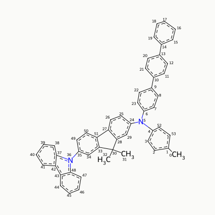 Cc1ccc(N(c2ccc(-c3ccc(-c4ccccc4)cc3)cc2)c2ccc3c(c2)C(C)(C)c2cc(-n4c5ccccc5c5ccccc54)ccc2-3)cc1